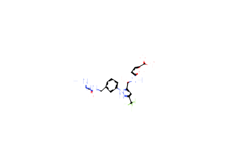 COC(=O)c1ccc(NC(=O)c2cc(C(F)(F)F)nn2-c2cccc(CNC(=O)[C@H](C)N)c2)o1